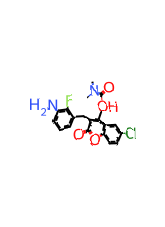 CN(C)C(=O)O.Cc1c(Cc2cccc(N)c2F)c(=O)oc2ccc(Cl)cc12